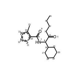 CCCCC(=O)C(NC(=O)c1snnc1C)C1CCCCC1